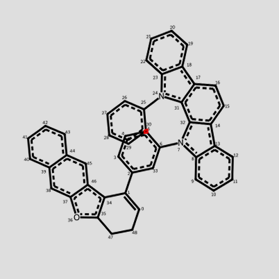 C1=C(c2cccc(-n3c4ccccc4c4ccc5c6ccccc6n(-c6ccccc6)c5c43)c2)c2c(oc3cc4ccccc4cc23)CC1